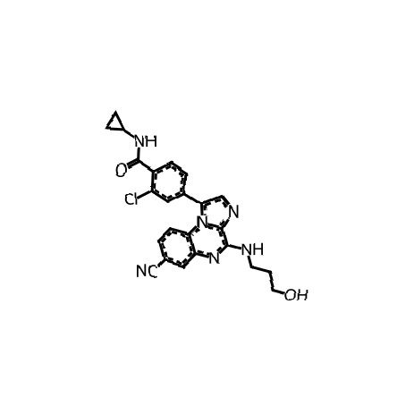 N#Cc1ccc2c(c1)nc(NCCCO)c1ncc(-c3ccc(C(=O)NC4CC4)c(Cl)c3)n12